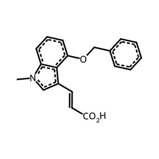 Cn1cc(/C=C/C(=O)O)c2c(OCc3ccccc3)cccc21